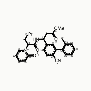 COC(=O)CC(NC(=O)C(CC(C)C)n1ccccc1=O)c1ccc(C#N)c(-c2ccccc2C)c1